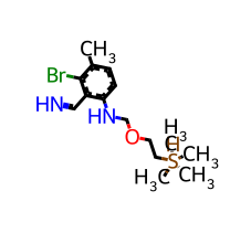 Cc1ccc(NCOCC[SH](C)(C)(C)C)c(C=N)c1Br